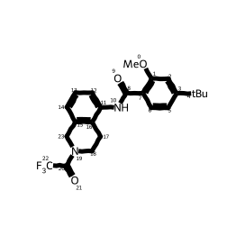 COc1cc(C(C)(C)C)ccc1C(=O)Nc1cccc2c1CCN(C(=O)C(F)(F)F)C2